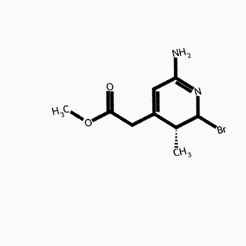 COC(=O)CC1=CC(N)=NC(Br)[C@@H]1C